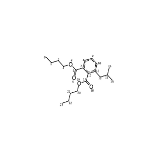 CCCCOC(=O)c1cccc(CC(C)C)c1C(=O)OCCCC